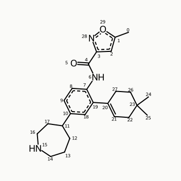 Cc1cc(C(=O)Nc2ccc(C3CCCNCC3)cc2C2=CCC(C)(C)CC2)no1